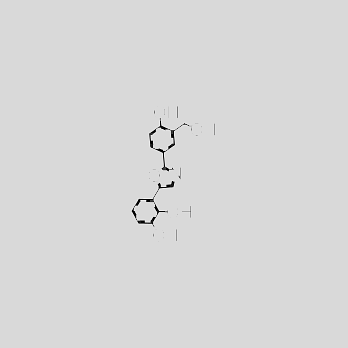 OCc1cc(-c2ncc(-c3cccc(O)c3O)o2)ccc1O